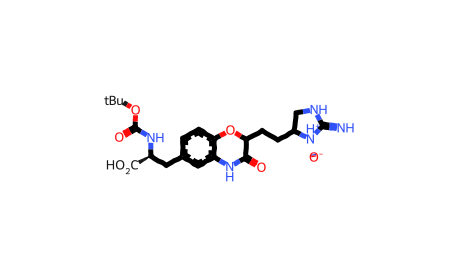 CC(C)(C)OC(=O)N[C@@H](Cc1ccc2c(c1)NC(=O)C(CCC1CNC(=N)[NH+]1[O-])O2)C(=O)O